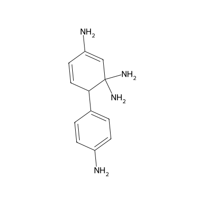 NC1=CC(N)(N)C(c2ccc(N)cc2)C=C1